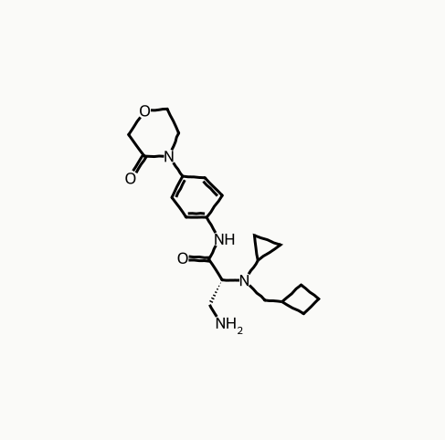 NC[C@H](C(=O)Nc1ccc(N2CCOCC2=O)cc1)N(CC1CCC1)C1CC1